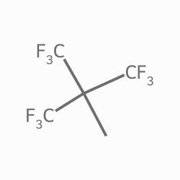 CC(C(F)(F)F)(C(F)(F)F)C(F)(F)F